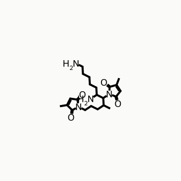 CC1=CC(=O)N(CCCC(C)C(C(N)CCCCCN)N2C(=O)C=C(C)C2=O)C1=O